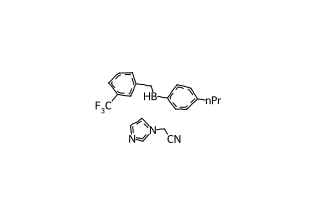 CCCc1ccc(BCc2cccc(C(F)(F)F)c2)cc1.N#CCn1ccnc1